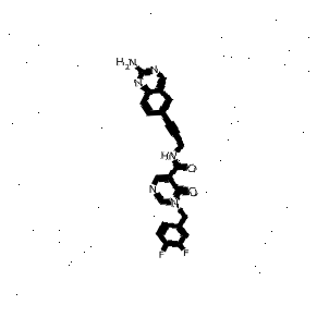 Nc1ncc2cc(C#CCNC(=O)c3cncn(Cc4ccc(F)c(F)c4)c3=O)ccc2n1